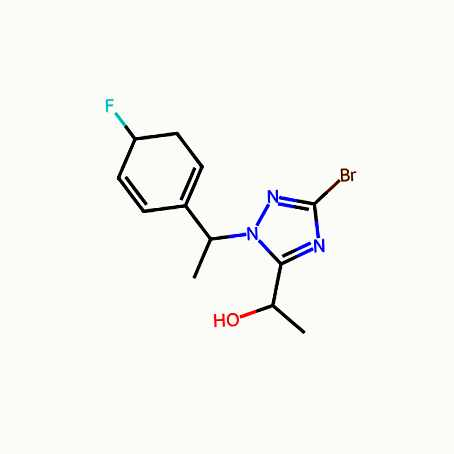 CC(O)c1nc(Br)nn1C(C)C1=CCC(F)C=C1